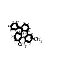 Cc1cccc(-c2cccc(-c3ccccc3)c2-c2cccc(C)c2)c1